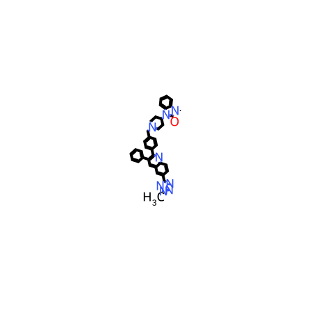 Cn1nnc(-c2ccc3nc(-c4ccc(CN5CCC(N6C(=O)[N]c7ccccc76)CC5)cc4)c(-c4ccccc4)cc3c2)n1